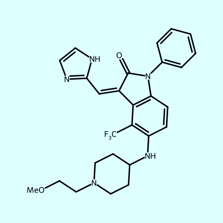 COCCN1CCC(Nc2ccc3c(c2C(F)(F)F)C(=Cc2ncc[nH]2)C(=O)N3c2ccccc2)CC1